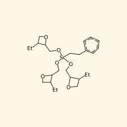 CCC1COC1CO[Si](CCc1ccccc1)(OCC1OCC1CC)OCC1OCC1CC